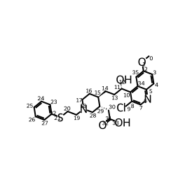 COc1ccc2ncc(Cl)c([C@@H](O)CC[C@@H]3CCN(CCSc4ccccc4)C[C@H]3CC(=O)O)c2c1